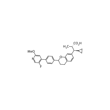 COc1cc(-c2ccc(C3CCc4ccc([C@H](C5CC5)[C@H](C)C(=O)O)cc4O3)cc2)c(F)cn1